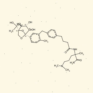 Cc1ccc([C@]23OC[C@](C(C)(C)O)(O2)[C@@H](O)[C@H](O)[C@H]3O)cc1Cc1ccc(CCCC(=O)NC(C)(CCCN(C)C)C(N)=O)cc1